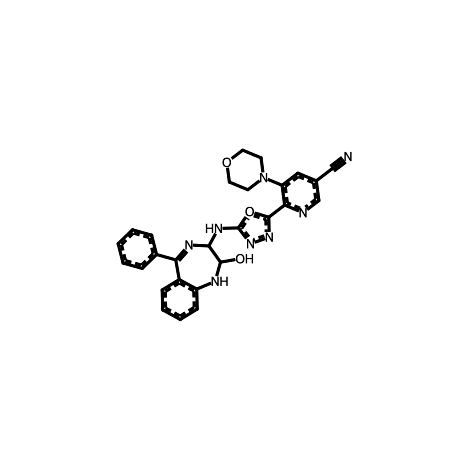 N#Cc1cnc(-c2nnc(NC3N=C(c4ccccc4)c4ccccc4NC3O)o2)c(N2CCOCC2)c1